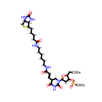 COCC1OC(N2CC(/C=C/C(=O)NCCCCCCNC(=O)CCCCC3SCC4NC(=O)NC43)C(=O)NC2=O)CC1O[PH](=O)OC